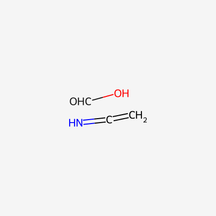 C=C=N.O=CO